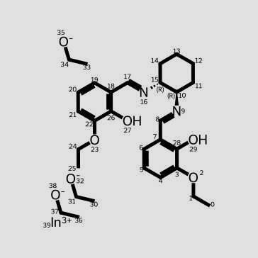 CCOc1cccc(C=N[C@@H]2CCCC[C@H]2N=Cc2cccc(OCC)c2O)c1O.CC[O-].CC[O-].CC[O-].[In+3]